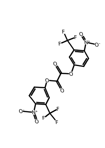 O=C(Oc1ccc([N+](=O)[O-])c(C(F)(F)F)c1)C(=O)Oc1ccc([N+](=O)[O-])c(C(F)(F)F)c1